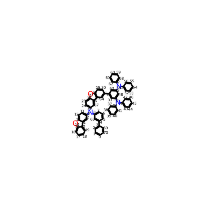 c1ccc(-c2cccc(N(c3ccc4oc5ccccc5c4c3)c3ccc4oc5ccc(-c6cc(N(c7ccccc7)c7ccccc7)cc(N(c7ccccc7)c7ccccc7)c6)cc5c4c3)c2)cc1